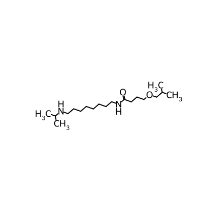 CC(C)COCCCC(=O)NCCCCCCCCNC(C)C